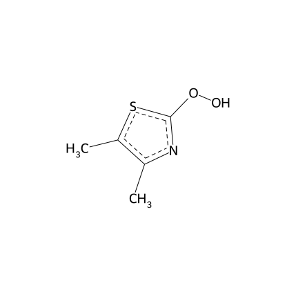 Cc1nc(OO)sc1C